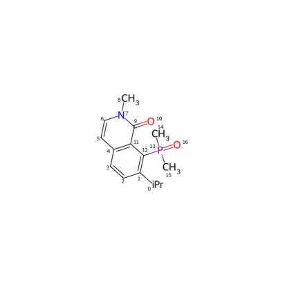 CC(C)c1ccc2ccn(C)c(=O)c2c1P(C)(C)=O